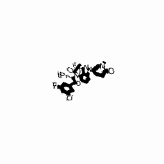 CC(C)[C@H](NC(=O)C(C)(F)F)[C@H](Oc1ccc2c(cnn2-c2ccc(=O)n(C)c2)c1)c1cc(F)cc(Cl)c1